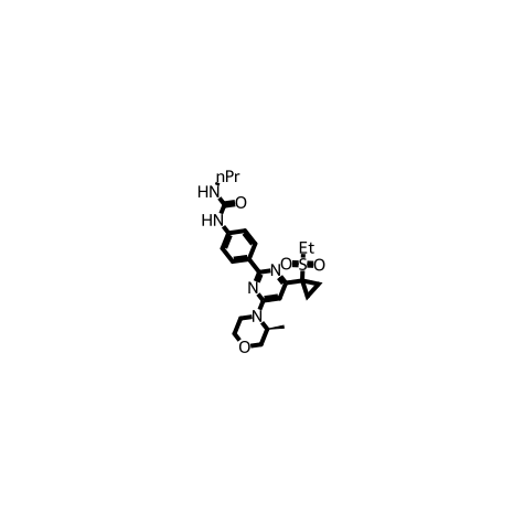 CCCNC(=O)Nc1ccc(-c2nc(N3CCOC[C@@H]3C)cc(C3(S(=O)(=O)CC)CC3)n2)cc1